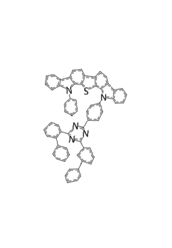 c1ccc(-c2cccc(-c3nc(-c4ccc(-n5c6ccccc6c6ccc7c8ccc9c%10ccccc%10n(-c%10ccccc%10)c9c8sc7c65)cc4)nc(-c4ccccc4-c4ccccc4)n3)c2)cc1